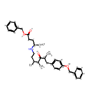 CCC(CCN[C@H](C=O)CCC(=O)OCc1ccccc1)C(C)C(=O)C(C)Cc1ccc(OCc2ccccc2)cc1